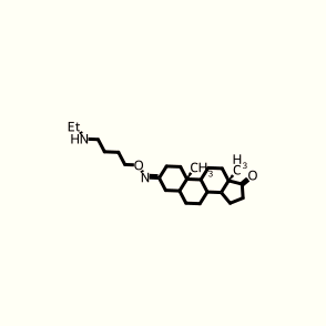 CCNCCCCO/N=C1\CC[C@@]2(C)C(CCC3C2CC[C@]2(C)C(=O)CCC32)C1